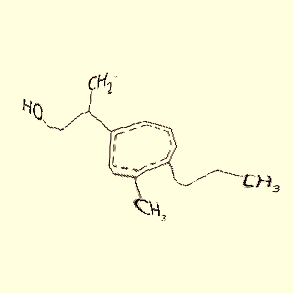 [CH2]C(CO)c1ccc(CCC)c(C)c1